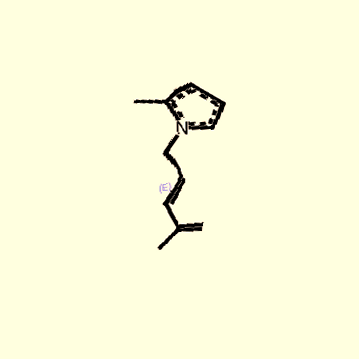 C=C(C)/C=C/Cn1cccc1C